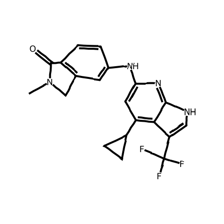 CN1Cc2cc(Nc3cc(C4CC4)c4c(C(F)(F)F)c[nH]c4n3)ccc2C1=O